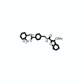 COc1c(C(=O)NCc2ccc(C(=O)Nc3ccccc3N)cc2)oc2ccccc12